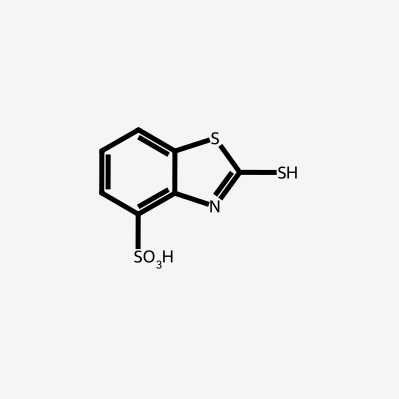 O=S(=O)(O)c1cccc2sc(S)nc12